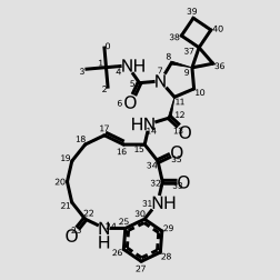 CC(C)(C)NC(=O)N1C[C@]2(C[C@H]1C(=O)NC1/C=C/CCCCC(=O)Nc3ccccc3NC(=O)C1=O)CC21CCC1